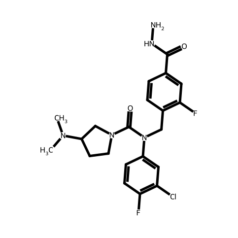 CN(C)C1CCN(C(=O)N(Cc2ccc(C(=O)NN)cc2F)c2ccc(F)c(Cl)c2)C1